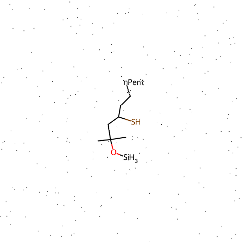 CCCCCCCC(S)CC(C)(C)O[SiH3]